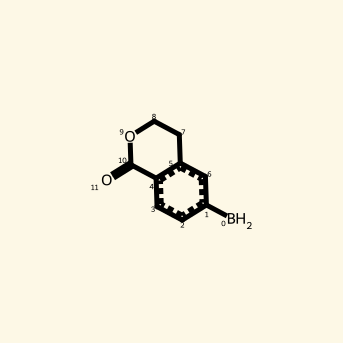 Bc1ccc2c(c1)CCOC2=O